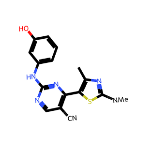 CNc1nc(C)c(-c2nc(Nc3cccc(O)c3)ncc2C#N)s1